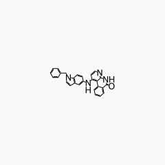 O=c1[nH]c2nccc(Nc3ccc4c(ccn4Cc4ccccc4)c3)c2c2ccccc12